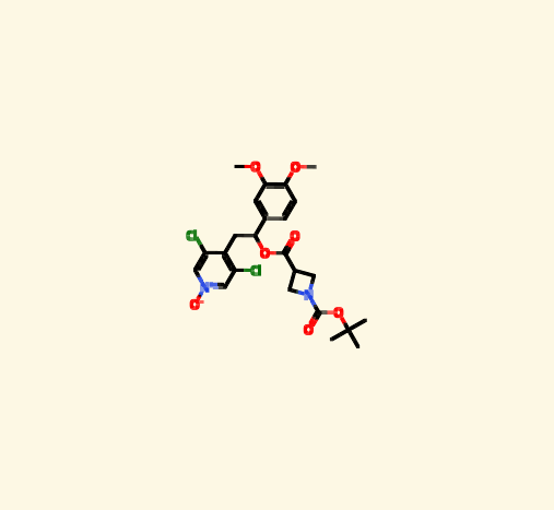 COc1ccc(C(Cc2c(Cl)c[n+]([O-])cc2Cl)OC(=O)C2CN(C(=O)OC(C)(C)C)C2)cc1OC